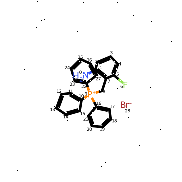 Nc1cccc(F)c1C[P+](c1ccccc1)(c1ccccc1)c1ccccc1.[Br-]